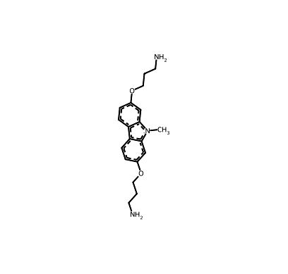 Cn1c2cc(OCCCN)ccc2c2ccc(OCCCN)cc21